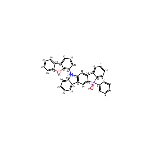 O=P1(c2ccccc2)c2ccccc2-c2cc3c(cc21)c1ccccc1n3-c1cccc2c1oc1ccccc12